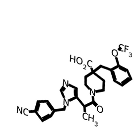 CC(C(=O)N1CCC(Cc2ccccc2OC(F)(F)F)(C(=O)O)CC1)c1cncn1Cc1ccc(C#N)cc1